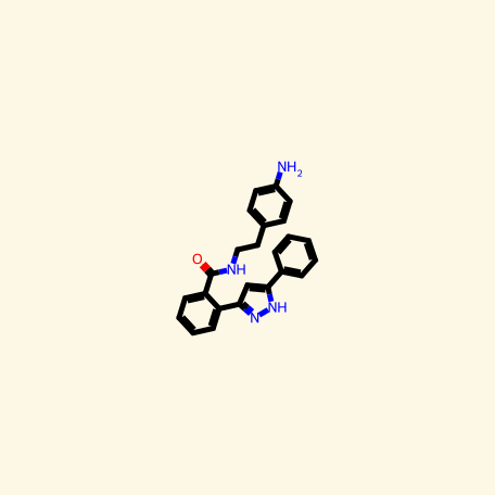 Nc1ccc(CCNC(=O)c2ccccc2-c2cc(-c3ccccc3)[nH]n2)cc1